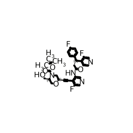 CC(C)(C)OC(=O)N1C[C@@H](C#Cc2c(F)cncc2NC(=O)C[C@H](c2ccc(F)cc2)c2ccncc2F)OC[C@H]1CO